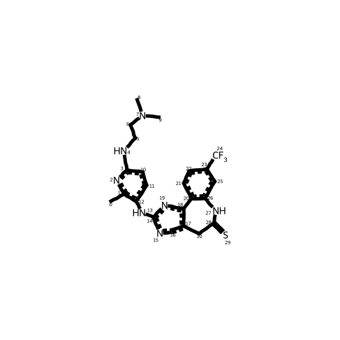 Cc1nc(NCCN(C)C)ccc1Nc1ncc2c(n1)-c1ccc(C(F)(F)F)cc1NC(=S)C2